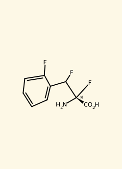 N[C@](F)(C(=O)O)C(F)c1ccccc1F